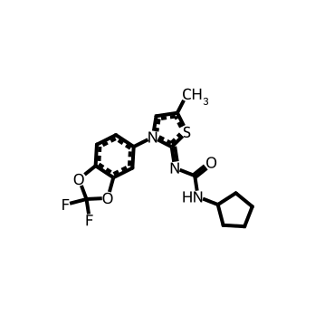 Cc1cn(-c2ccc3c(c2)OC(F)(F)O3)c(=NC(=O)NC2CCCC2)s1